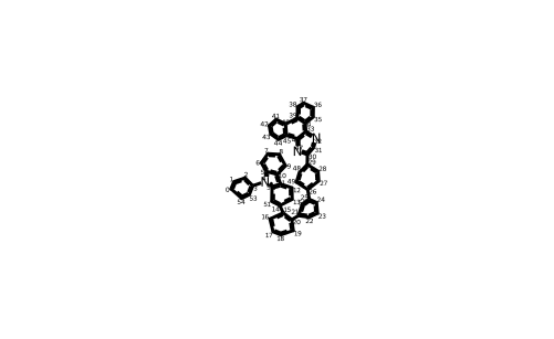 c1ccc(-n2c3ccccc3c3ccc(-c4ccccc4-c4cccc(-c5ccc(-c6cnc7c8ccccc8c8ccccc8c7n6)cc5)c4)cc32)cc1